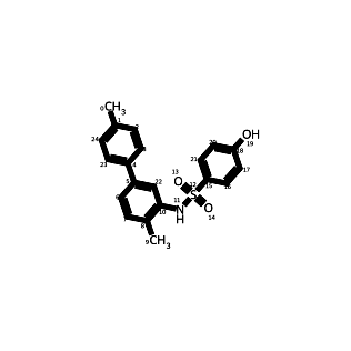 Cc1ccc(-c2ccc(C)c(NS(=O)(=O)c3ccc(O)cc3)c2)cc1